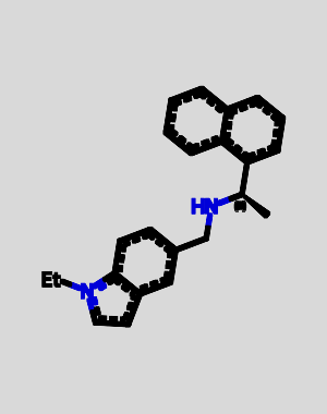 CCn1ccc2cc(CN[C@H](C)c3cccc4ccccc34)ccc21